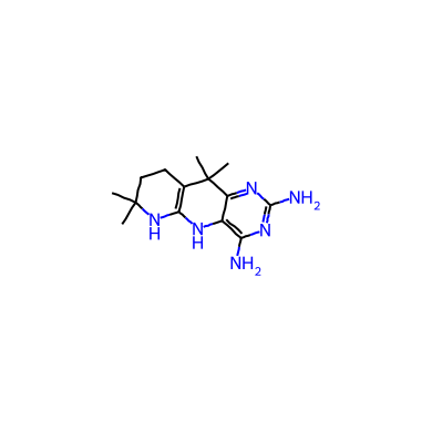 CC1(C)CCC2=C(Nc3c(N)nc(N)nc3C2(C)C)N1